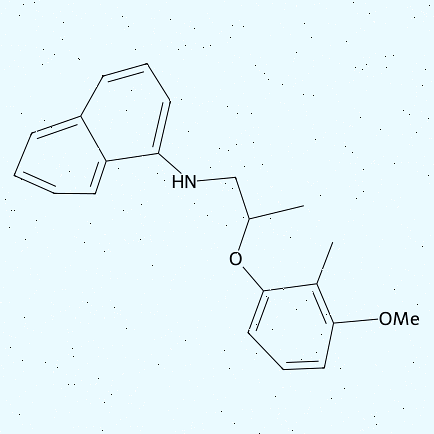 COc1cccc(OC(C)CNc2cccc3ccccc23)c1C